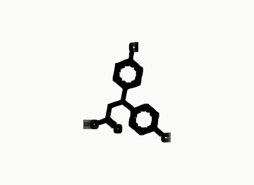 O=C(O)CC(c1ccc(Cl)cc1)c1ccc(Cl)cc1